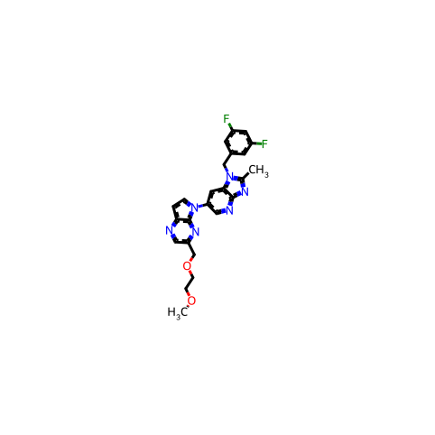 COCCOCc1cnc2ccn(-c3cnc4nc(C)n(Cc5cc(F)cc(F)c5)c4c3)c2n1